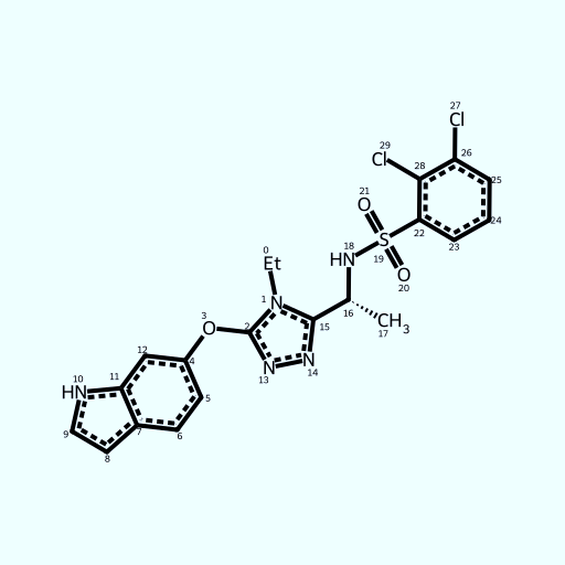 CCn1c(Oc2ccc3cc[nH]c3c2)nnc1[C@@H](C)NS(=O)(=O)c1cccc(Cl)c1Cl